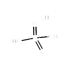 O=S(=O)(O)O.[CH3]